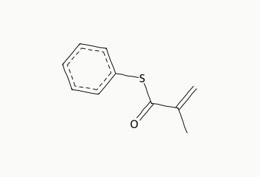 C=C(C)C(=O)Sc1ccccc1